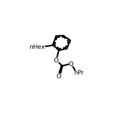 CCCCCCc1ccccc1OC(=O)OCCC